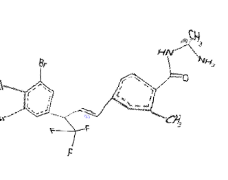 Cc1cc(/C=C/C(c2cc(Br)c(Cl)c(Br)c2)C(F)(F)F)ccc1C(=O)N[C@H](C)N